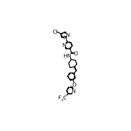 O=C(NC1CCC(=Cc2cccc(Oc3ccc(C(F)(F)F)cn3)c2)CC1)c1ccc(-n2cc(Cl)cn2)nc1